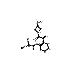 C=C(C(=O)N1CC(OC)C1)C1=C(SNC(=O)CCC)CCCC1